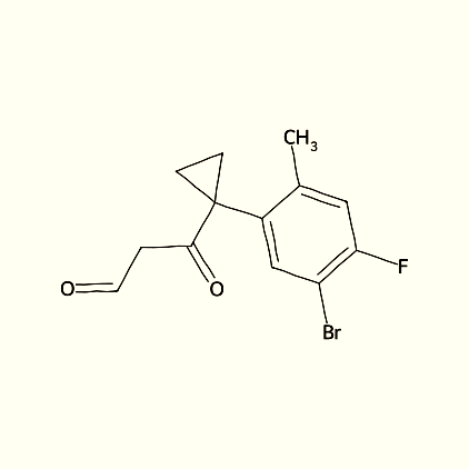 Cc1cc(F)c(Br)cc1C1(C(=O)CC=O)CC1